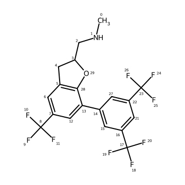 CNCC1Cc2cc(C(F)(F)F)cc(-c3cc(C(F)(F)F)cc(C(F)(F)F)c3)c2O1